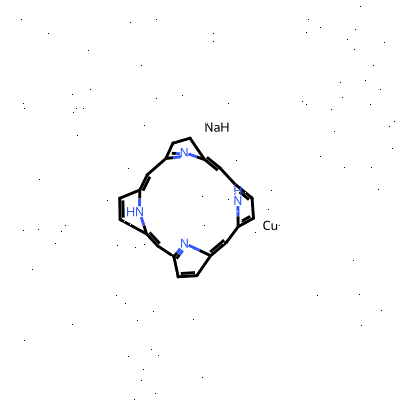 C1=Cc2cc3ccc(cc4nc(cc5ccc(cc1n2)[nH]5)CC4)[nH]3.[Cu].[NaH]